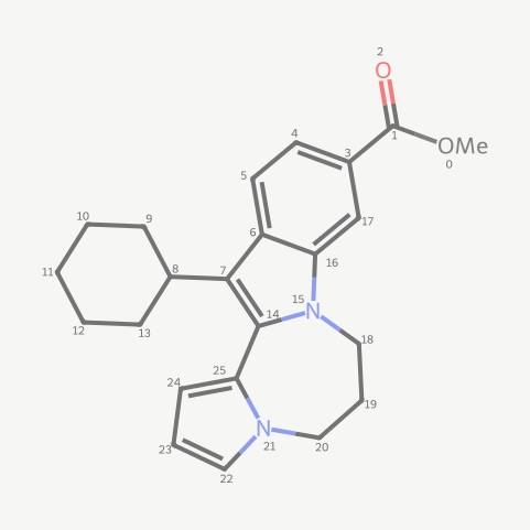 COC(=O)c1ccc2c(C3CCCCC3)c3n(c2c1)CCCn1cccc1-3